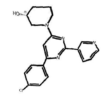 O[C@@H]1CCCN(c2cc(-c3ccc(Cl)cc3)nc(-c3cccnc3)n2)C1